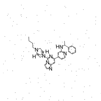 CCCCN1C[C@@H]2C[C@H]1CN2c1nc(-c2ccnc(NC(C)c3ccccc3)c2)cc2nccn12